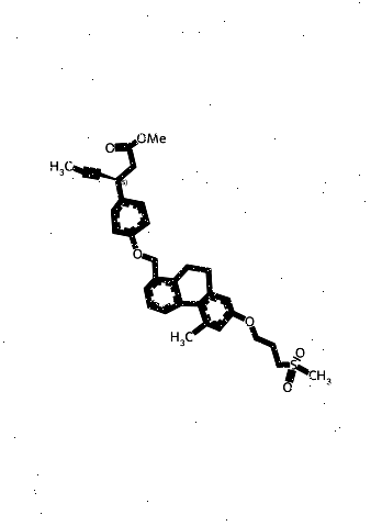 CC#C[C@@H](CC(=O)OC)c1ccc(OCc2cccc3c2CCc2cc(OCCCS(C)(=O)=O)cc(C)c2-3)cc1